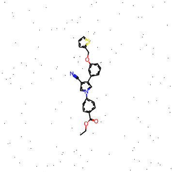 CCOC(=O)c1ccc(-n2cc(C#N)c(-c3cccc(OCc4cccs4)c3)c2)cc1